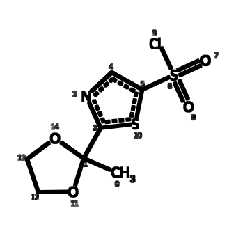 CC1(c2ncc(S(=O)(=O)Cl)s2)OCCO1